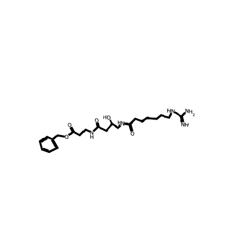 N=C(N)NCCCCCCC(=O)NCC(O)CC(=O)NCCC(=O)OCc1ccccc1